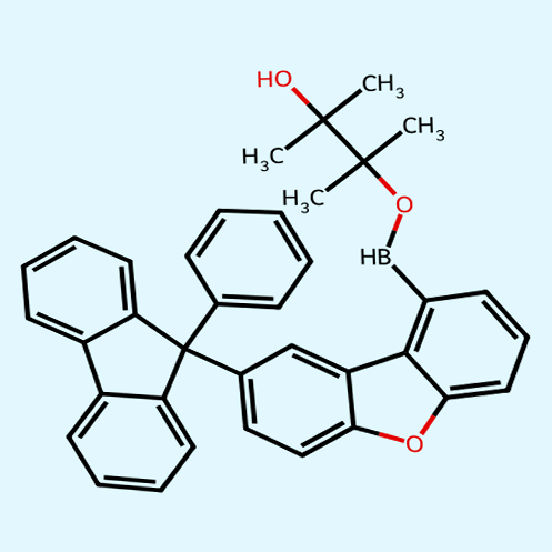 CC(C)(O)C(C)(C)OBc1cccc2oc3ccc(C4(c5ccccc5)c5ccccc5-c5ccccc54)cc3c12